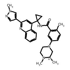 Cc1ccc(N2CCN(C)[C@H](C)C2)cc1C(=O)NC1(c2cc(-c3cnn(C)c3)nc3ccccc23)CC1